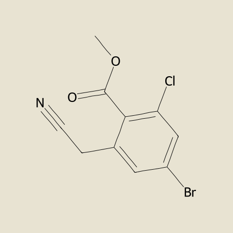 COC(=O)c1c(Cl)cc(Br)cc1CC#N